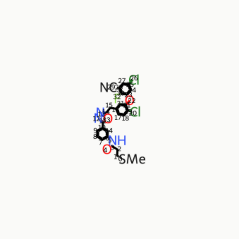 CSCCC(=O)Nc1cccc(-c2nnc(Cc3ccc(Cl)c(Oc4cc(Cl)cc(C#N)c4)c3F)o2)c1